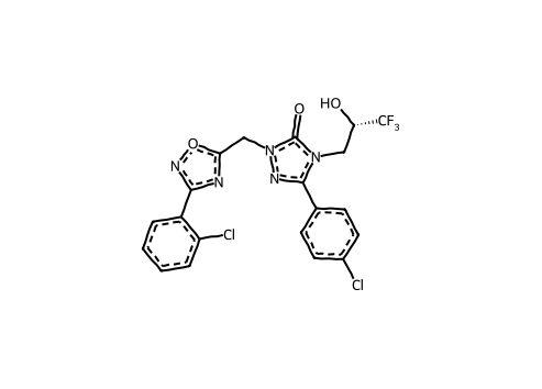 O=c1n(Cc2nc(-c3ccccc3Cl)no2)nc(-c2ccc(Cl)cc2)n1C[C@H](O)C(F)(F)F